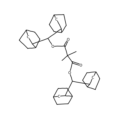 CC(C)(C(=O)OC(C1CC2CCC1CC2)C1CC2CCC1CC2)C(=O)OC(C1CC2CCC1CC2)C1CC2CCC1CC2